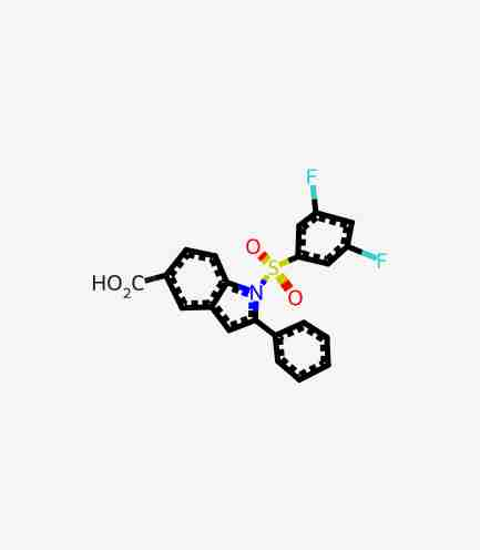 O=C(O)c1ccc2c(c1)cc(-c1ccccc1)n2S(=O)(=O)c1cc(F)cc(F)c1